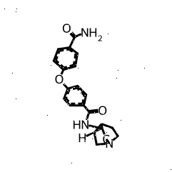 NC(=O)c1ccc(Oc2ccc(C(=O)N[C@H]3CN4CCC3CC4)cc2)cc1